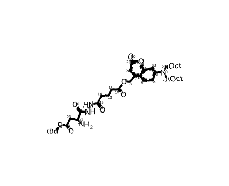 CCCCCCCCN(CCCCCCCC)c1ccc2c(COC(=O)CCCC(=O)NNC(=O)[C@@H](N)CC(=O)OC(C)(C)C)cc(=O)oc2c1